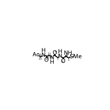 CSC[C@@H](N)C(=O)NCC(=O)NCC(=O)NCC(C)=O